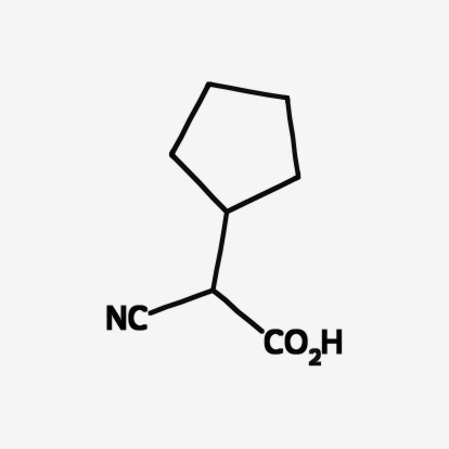 N#CC(C(=O)O)C1CCCC1